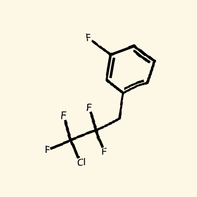 Fc1cccc(CC(F)(F)C(F)(F)Cl)c1